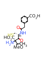 CO[C@H](C)[C@](N)(C(=O)O)C(=O)[C@H](CS)NC(=O)Cc1cccc(C(=O)O)c1